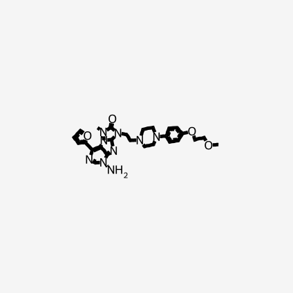 COCCOc1ccc(N2CCN(CCN3C(=O)N(C)N4C5=C(c6ccco6)N=CN(N)C5=NC34)CC2)cc1